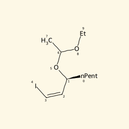 CCCCC[C@@H](/C=C\I)OC(C)OCC